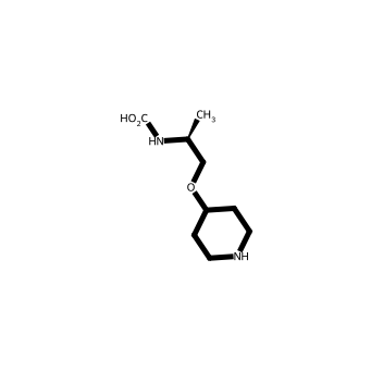 C[C@@H](COC1CCNCC1)NC(=O)O